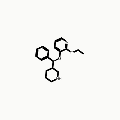 CCOc1ncccc1O[C@H](c1ccccc1)C1CCCNC1